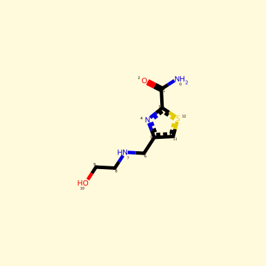 NC(=O)c1nc(CNCCO)cs1